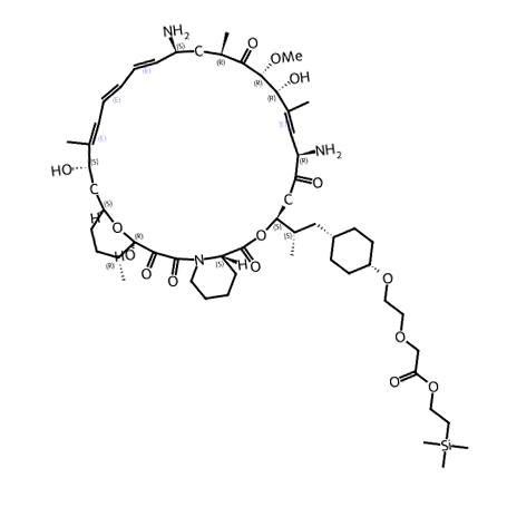 CO[C@H]1C(=O)[C@H](C)C[C@H](N)/C=C/C=C/C=C(\C)[C@@H](O)C[C@@H]2CC[C@@H](C)[C@@](O)(O2)C(=O)C(=O)N2CCCC[C@H]2C(=O)O[C@H]([C@@H](C)C[C@H]2CC[C@@H](OCCOCC(=O)OCC[Si](C)(C)C)CC2)CC(=O)[C@H](N)/C=C(\C)[C@H]1O